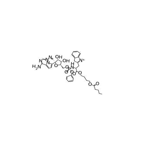 CCCCC(=O)OCCCCOC(=O)C(CC1=[N+](C)c2ccccc2C1)NP(=O)(OC[C@H]1O[C@@](C#N)(c2ccc3c(N)ncnn23)[C@H](O)[C@@H]1O)Oc1ccccc1